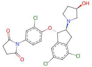 O=C1CCC(=O)N1c1ccc(O[C@H]2c3cc(Cl)cc(Cl)c3C[C@@H]2N2CC[C@@H](O)C2)c(Cl)c1